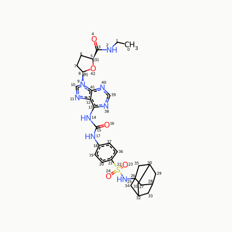 CCNC(=O)[C@@H]1CC[C@H](n2cnc3c(NC(=O)Nc4ccc(S(=O)(=O)NC56CC7CC(CC(C7)C5)C6)cc4)ncnc32)O1